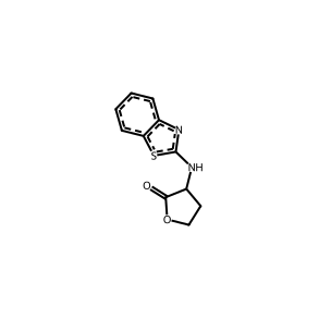 O=C1OCCC1Nc1nc2ccccc2s1